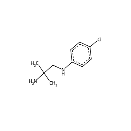 CC(C)(N)CNc1ccc(Cl)cc1